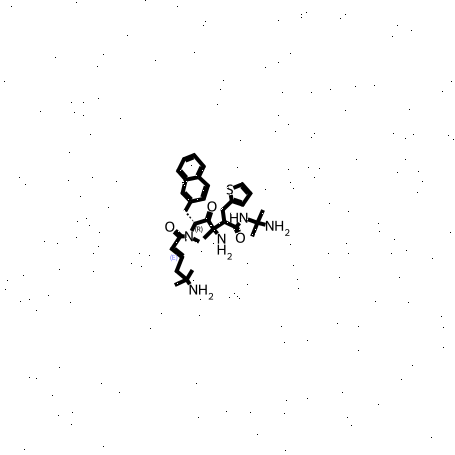 CN(C(=O)/C=C/CC(C)(C)N)[C@H](Cc1ccc2ccccc2c1)C(=O)C(C)(N)C(Cc1cccs1)C(=O)NC(C)(C)N